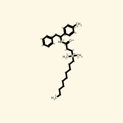 CCCCCCCCCC[Si](C)(C)CCC(=O)NC(Cc1ccccc1)c1ccc(C)cc1